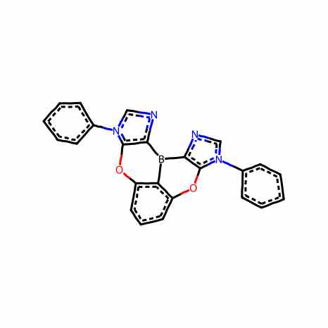 c1ccc(-n2cnc3c2Oc2cccc4c2B3c2ncn(-c3ccccc3)c2O4)cc1